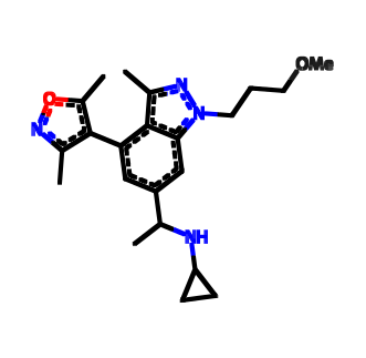 COCCCn1nc(C)c2c(-c3c(C)noc3C)cc(C(C)NC3CC3)cc21